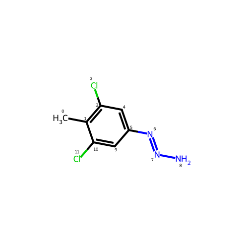 Cc1c(Cl)cc(N=NN)cc1Cl